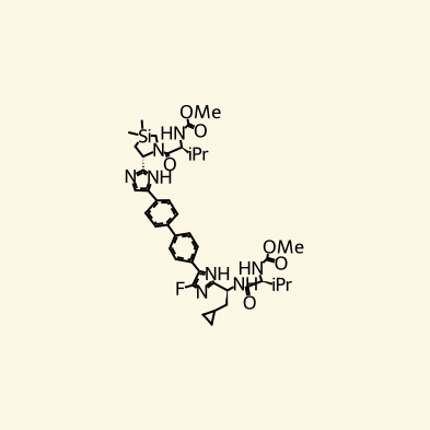 COC(=O)N[C@H](C(=O)N[C@@H](CC1CC1)c1nc(F)c(-c2ccc(-c3ccc(-c4cnc([C@@H]5C[Si](C)(C)CN5C(=O)[C@@H](NC(=O)OC)C(C)C)[nH]4)cc3)cc2)[nH]1)C(C)C